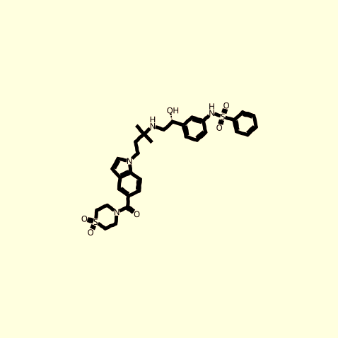 CC(C)(CCn1ccc2cc(C(=O)N3CCS(=O)(=O)CC3)ccc21)NC[C@H](O)c1cccc(NS(=O)(=O)c2ccccc2)c1